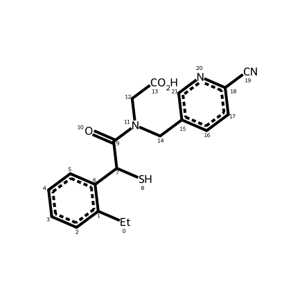 CCc1ccccc1C(S)C(=O)N(CC(=O)O)Cc1ccc(C#N)nc1